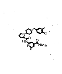 CNC(=O)c1cc(C)nc(NC(=O)[C@H]2CCCN2C2CCN(Cc3ccc(Cl)c(C)c3)CC2)c1